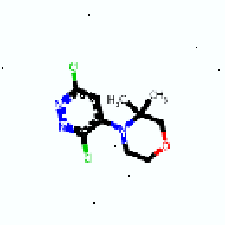 CC1(C)COCCN1c1cc(Cl)nnc1Cl